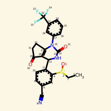 CC[S+]([O-])c1cc(C#N)ccc1C1NC(=O)N(c2cccc(C(F)(F)F)c2)C2=C1C(=O)CC2